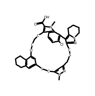 Cn1nc2cc1CSc1cc3c(c(c1)OCCCc1c(C(=O)O)n(C)c4c(c(Cl)ccc14)-c1c(nn4c1CCCC4)CSC2)CCCC3